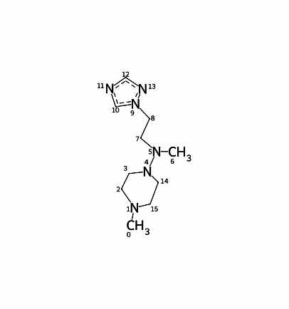 CN1CCN(N(C)CCn2cncn2)CC1